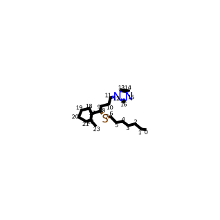 CCCCCCCSC(CCCn1ccnc1)C1CCCCC1C